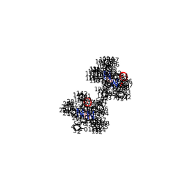 Cc1ccccc1-c1cc2c3c(c1)N(c1cc4c(cc1C)C(C)(C)CCC4(C)C)c1cc4c(cc1B3N(c1ccc3c(c1)C(C)(C)CCC3(C)CCc1cc(C)c(-c3cc5c6c(c3)N(c3cc7c(cc3C)C(C)(C)CCC7(C)C)c3c(ccc7oc8ccccc8c37)B6N(c3ccc6c(c3)C(C)(C)CCC6(C)C)c3cc6c(cc3-5)C(C)(C)CCC6(C)C)c(C)c1)c1cc3c(cc1-2)C(C)(C)CCC3(C)C)oc1ccccc14